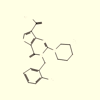 COC(=O)c1csc2c(=O)n(Cc3ccccc3C#N)c(N3CCC[C@@H](N)C3)nc12